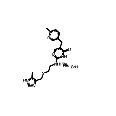 Br.Br.Br.Cc1ccc(Cc2cnc(NCCSCc3nc[nH]c3C)[nH]c2=O)cn1